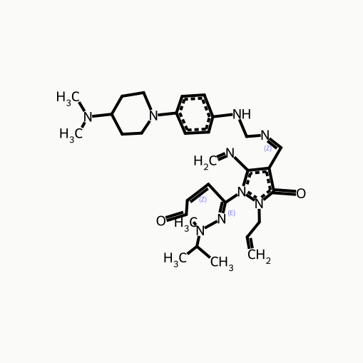 C=CCn1c(=O)c(/C=N\CNc2ccc(N3CCC(N(C)C)CC3)cc2)c(N=C)n1C(/C=C\C=O)=N/N(C)C(C)C